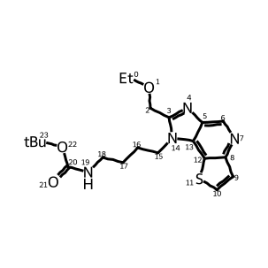 CCOCc1nc2cnc3ccsc3c2n1CCCCNC(=O)OC(C)(C)C